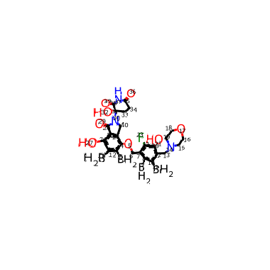 Bc1c(B)c(OCc2c(B)c(B)c(CN3CCOCC3)c(O)c2F)c2c(c1O)C(=O)N(C1(O)CCC(=O)NC1=O)C2